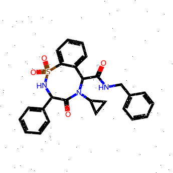 O=C(NCc1ccccc1)C1c2ccccc2S(=O)(=O)NC(c2ccccc2)C(=O)N1C1CC1